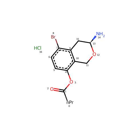 CCCC(=O)Oc1ccc(Br)c2c1CO[C@H](N)C2.Cl